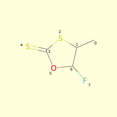 CC1SC(=S)OC1F